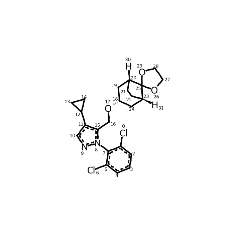 Clc1cccc(Cl)c1-n1ncc(C2CC2)c1CO[C@@H]1C[C@H]2CC[C@@H](C1)C21OCCO1